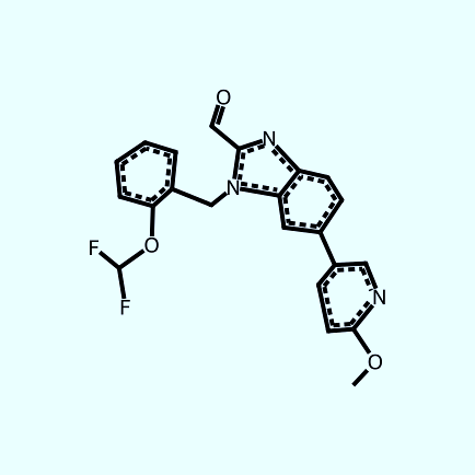 COc1ccc(-c2ccc3nc(C=O)n(Cc4ccccc4OC(F)F)c3c2)cn1